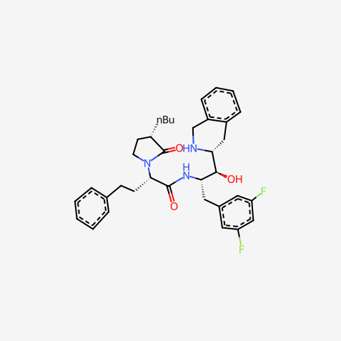 CCCC[C@H]1CCN([C@@H](CCc2ccccc2)C(=O)N[C@@H](Cc2cc(F)cc(F)c2)[C@H](O)[C@H]2Cc3ccccc3CN2)C1=O